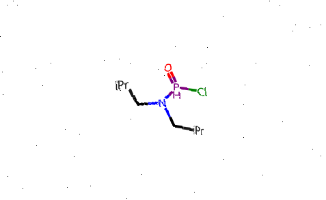 CC(C)CN(CC(C)C)[PH](=O)Cl